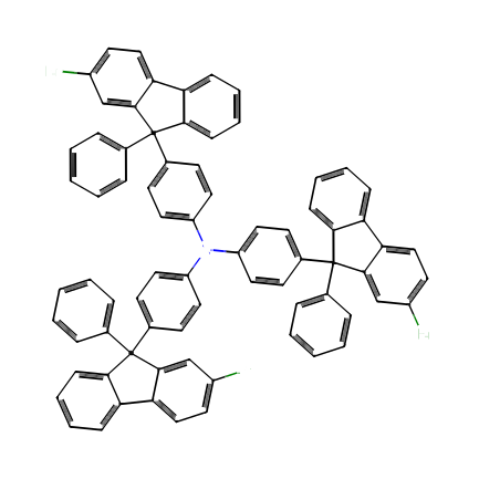 Brc1ccc2c(c1)C(c1ccccc1)(c1ccc(N(c3ccc(C4(c5ccccc5)c5ccccc5-c5ccc(Br)cc54)cc3)c3ccc(C4(c5ccccc5)c5ccccc5-c5ccc(Br)cc54)cc3)cc1)c1ccccc1-2